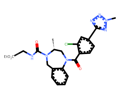 CCOC(=O)CNC(=O)N1Cc2ccccc2N(C(=O)c2ccc(-c3nnn(C)n3)cc2Cl)C[C@H]1C